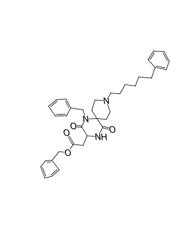 O=C(CC1NC(=O)C2(CCN(CCCCCCc3ccccc3)CC2)N(Cc2ccccc2)C1=O)OCc1ccccc1